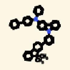 CC1(C)C2=CC(c3cccc(-n4c5ccccc5c5cc(N(c6ccccc6)c6ccc(-c7ccccc7)cc6)ccc54)c3)CCC2c2ccccc21